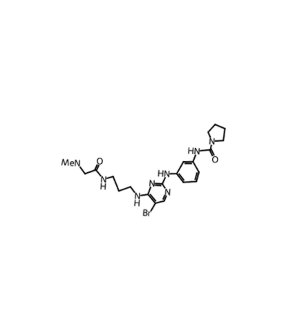 CNCC(=O)NCCCNc1nc(Nc2cccc(NC(=O)N3CCCC3)c2)ncc1Br